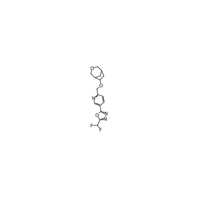 FC(F)c1nnc(-c2ccc(COC3CC4COCC3C4)nc2)o1